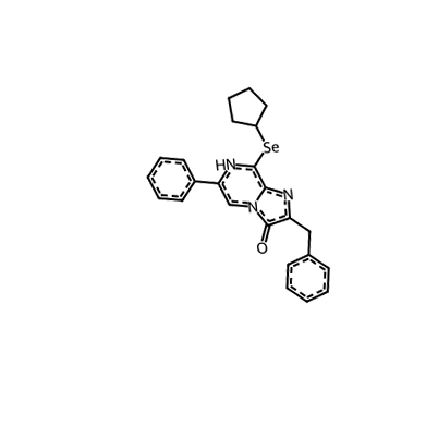 O=c1c(Cc2ccccc2)nc2c([Se]C3CCCC3)[nH]c(-c3ccccc3)cn1-2